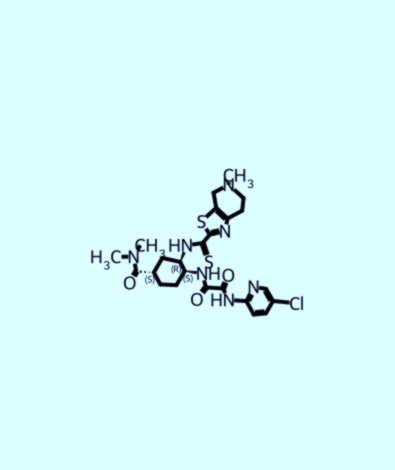 CN1CCc2nc(C(=S)N[C@@H]3C[C@@H](C(=O)N(C)C)CC[C@@H]3NC(=O)C(=O)Nc3ccc(Cl)cn3)sc2C1